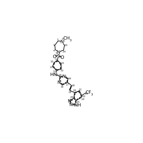 CN1CCCN(S(=O)(=O)c2ccc(Nc3ncc(/C=C/c4cc(C(F)(F)F)cc5[nH]nnc45)cn3)cc2)CC1